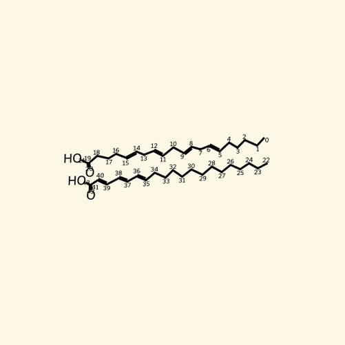 CCCCCC=CCC=CCC=CCC=CCCCC(=O)O.CCCCCCCCCCCCCC=CC=CC=CC(=O)O